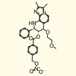 COCCO[C@@H]1c2ccn3c(C)c(C)nc3c2N[C@H](c2ccccc2)[C@H]1OC(=O)c1ccc(CO[N+](=O)[O-])cc1